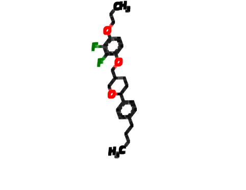 CCCCc1ccc(C2CCC(COc3ccc(OCCC)c(F)c3F)CO2)cc1